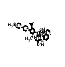 COc1cc(N2CCC(N3CCN(C)CC3)CC2)c(C2CC2)cc1Nc1ncc(Br)c(Nc2ccc3nccnc3c2NS(C)(=O)=O)n1